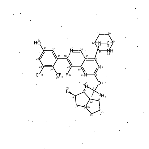 [2H]C([2H])(Oc1nc(N2CC3CCC2CN3)c2cnc(-c3cc(O)cc(Cl)c3C(F)(F)F)c(F)c2n1)[C@]12CCCN1C[C@@H](F)C2